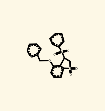 O=S1(=O)CC(S(=O)(=O)c2ccccc2)c2c(OCc3ccccn3)cccc21